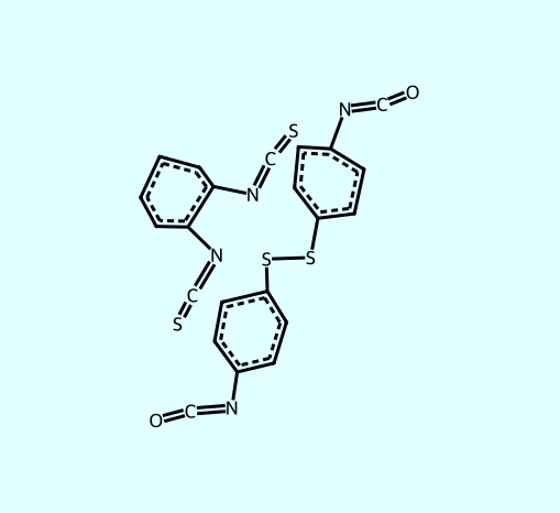 O=C=Nc1ccc(SSc2ccc(N=C=O)cc2)cc1.S=C=Nc1ccccc1N=C=S